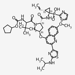 C=C[C@@H]1C[C@]1(NC(=O)[C@@H]1C[C@@H](Oc2cc(-c3csc(NC(C)C)n3)nc3cc(OC)ccc23)CN1C(=O)C(NC(=O)OC1CCCC1)C(C)(C)C)P(=O)(O)c1nccs1